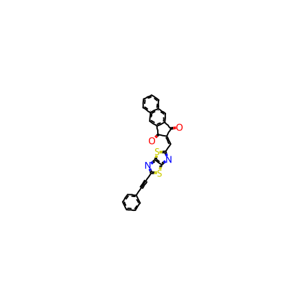 O=C1C(=Cc2nc3sc(C#Cc4ccccc4)nc3s2)C(=O)c2cc3ccccc3cc21